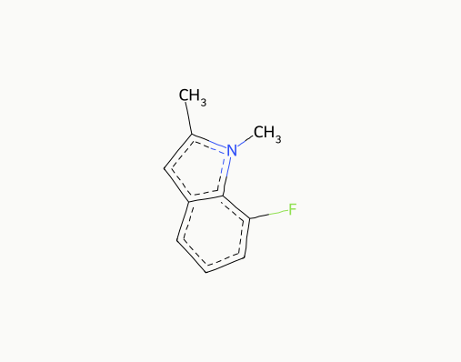 Cc1cc2cccc(F)c2n1C